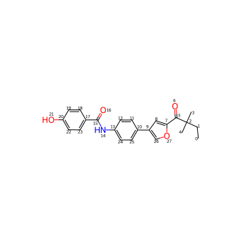 CCC(C)(C)C(=O)c1cc(-c2ccc(NC(=O)c3ccc(O)cc3)cc2)co1